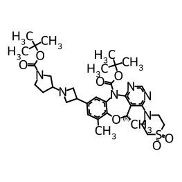 Cc1cc(C2CN(C3CCN(C(=O)OC(C)(C)C)C3)C2)cc2c1O[C@H](C)c1c(N3CCS(=O)(=O)CC3)ncnc1N2C(=O)OC(C)(C)C